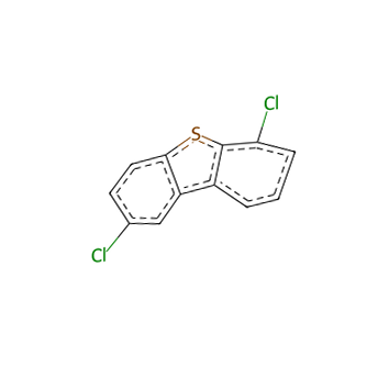 Clc1ccc2sc3c(Cl)cccc3c2c1